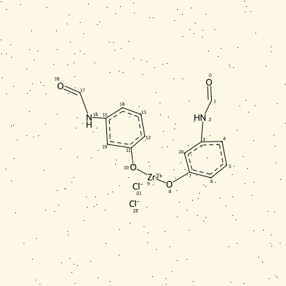 O=CNc1cccc([O][Zr+2][O]c2cccc(NC=O)c2)c1.[Cl-].[Cl-]